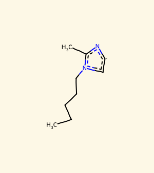 CCCCCn1c[c]nc1C